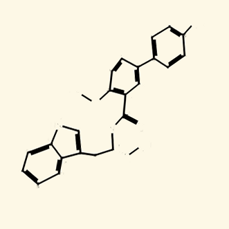 CCCOc1ccc(-c2ccc(C(F)(F)F)cc2)cc1C(=O)N[C@H](CO)Cc1c[nH]c2ccccc12